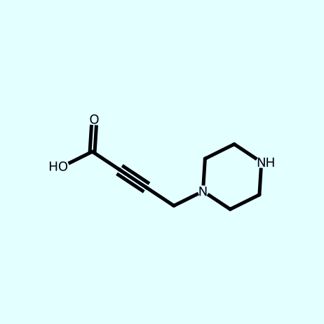 O=C(O)C#CCN1CCNCC1